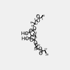 C=CC(=O)OCC(C)(C)COC(=O)CN(CC(=O)OCC(C)(C)COC(=O)C=C)C(CO)CO